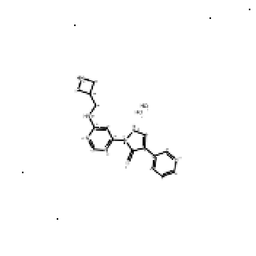 Cl.Cl.O=c1c(-c2cccnc2)c[nH]n1-c1cc(NCC2CNC2)ncn1